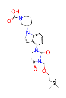 C[Si](C)(C)CCOCN1C(=O)CCN(c2cccc3c2ccn3[C@H]2CCCN(C(=O)O)C2)C1=O